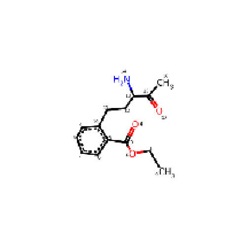 CCOC(=O)c1ccccc1CCC(N)C(C)=O